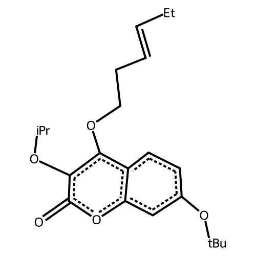 CC/C=C/CCOc1c(OC(C)C)c(=O)oc2cc(OC(C)(C)C)ccc12